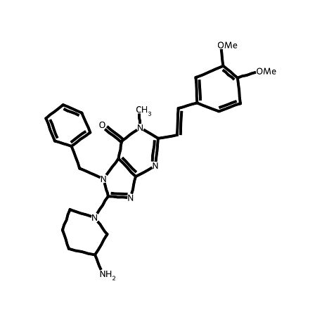 COc1ccc(/C=C/c2nc3nc(N4CCCC(N)C4)n(Cc4ccccc4)c3c(=O)n2C)cc1OC